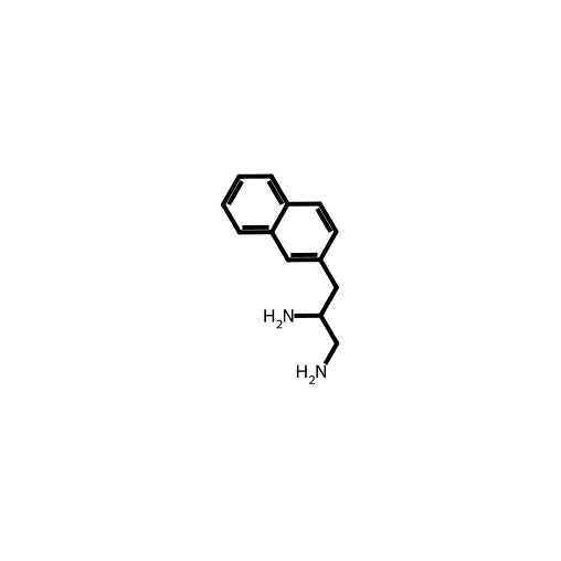 NCC(N)Cc1ccc2ccccc2c1